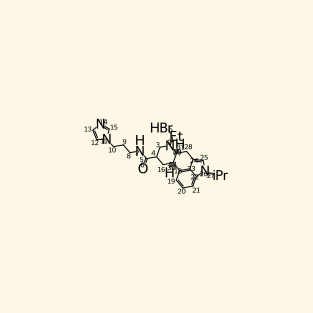 Br.CCN1CC(C(=O)NCCCn2ccnc2)C[C@@H]2c3cccc4c3c(cn4C(C)C)C[C@H]21